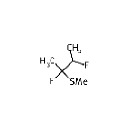 CSC(C)(F)C(C)F